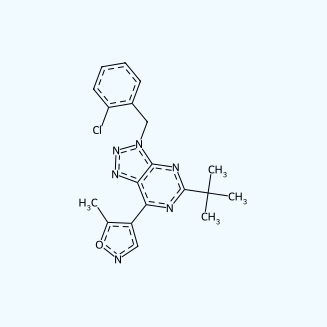 Cc1oncc1-c1nc(C(C)(C)C)nc2c1nnn2Cc1ccccc1Cl